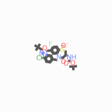 CC(C)(C)OC(=O)N[C@H]1C[S+]([O-])c2cc(F)c(-c3nnc(C(C)(C)C)o3)cc2N(Cc2ccc(Cl)cc2)C1=O